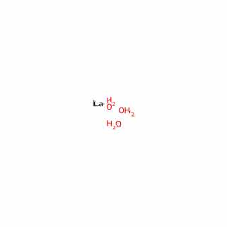 O.O.O.[La]